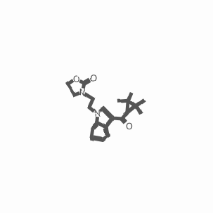 CC1(C)C(C(=O)c2cn(CCN3CCOC3=O)c3ccccc23)C1(C)C